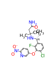 CC[C@@H](NC(C)(C)CC(N)=O)c1ccc(Cl)c(Oc2ccc([N+](=O)[O-])nc2)c1F